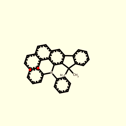 CC1(C)c2ccccc2-c2cc3ccc4ccccc4c3c(N(c3ccccc3)c3ccccc3)c21